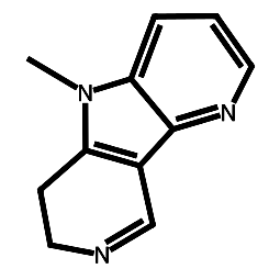 Cn1c2c(c3ncccc31)C=NCC2